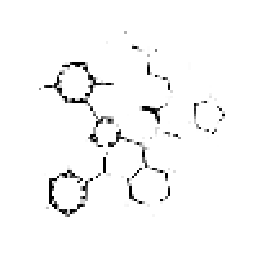 C[C@@H](CNC(=O)O)NC(=O)N(C[C@@H]1CNC[C@@H]1F)[C@@H](c1nc(-c2cc(F)ccc2F)cn1Cc1ccccc1)C1CCOCC1